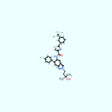 CC(C)(O)CCn1cc2cc(NC(=O)c3csc(-c4cccc(C(F)(F)F)c4)n3)c(-c3ccc(F)cc3)cc2n1